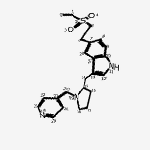 CCS(=O)(=O)CCc1ccc2[nH]cc(C[C@H]3CCCN3Cc3ccncc3)c2c1